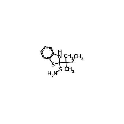 CCC(C)(C)C1(SN)Nc2ccccc2S1